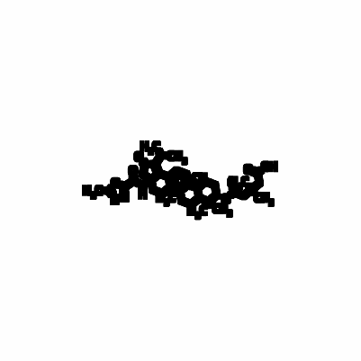 Cc1nnc(C(=O)N[C@@]23CC[C@]4(C)C(CCC5[C@@]6(C)CC[C@H](OC(=O)CC(C)(C)CC(=O)O)C(C)(C)C6CC[C@]54C)C2=C(C(C)C)C(=O)C3)o1